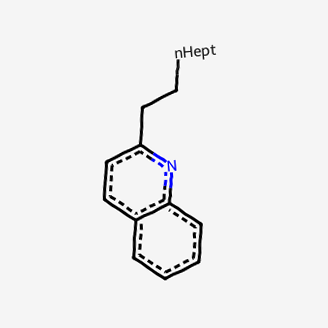 CCCCCCCCCc1ccc2ccccc2n1